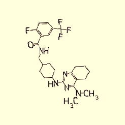 CN(C)c1nc(NC2CCC(CNC(=O)c3cc(C(F)(F)F)ccc3F)CC2)nc2c1CCCC2